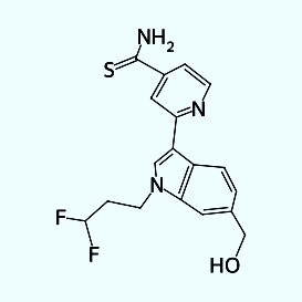 NC(=S)c1ccnc(-c2cn(CCC(F)F)c3cc(CO)ccc23)c1